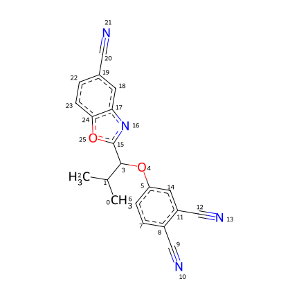 CC(C)C(Oc1ccc(C#N)c(C#N)c1)c1nc2cc(C#N)ccc2o1